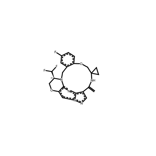 C=C1NC2(CC2)COc2ccc(F)cc2CN2c3nc4c1cnn4cc3OC[C@H]2C(F)F